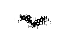 C=CC1(C)CCC2C(=CCC3C(C)(C(=O)OCC(C)CC(OO)C4(C)CCCC5(C)C6CCC(C)(C=C)CC6=CCC45)CCCC23C)C1